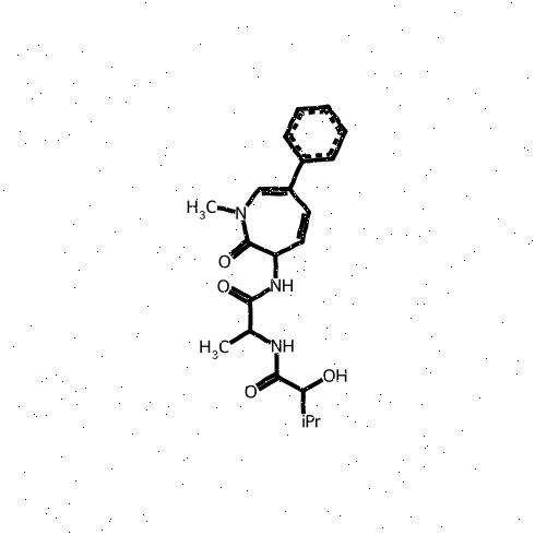 CC(NC(=O)C(O)C(C)C)C(=O)NC1C=CC(c2ccccc2)=CN(C)C1=O